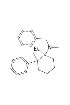 CCC1(N(C)Cc2ccccc2)CCCCC1(C)c1ccccc1